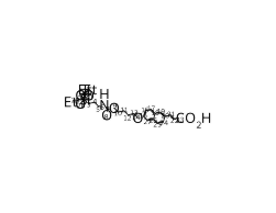 CCO[Si](CCCNC(=O)OCCCCOc1ccc2cc(/C=C/C(=O)O)ccc2c1)(OCC)OCC